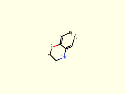 CC/C=C1/NCCO/C1=C/CC